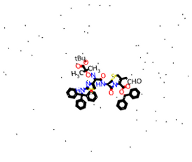 CC(C)(C)OC(=O)C(C)(C)O/N=C(/C(=O)NC1C(=O)N2C(C(=O)OC(c3ccccc3)c3ccccc3)=C(CC=O)CSC12)c1csc(NC(c2ccccc2)(c2ccccc2)c2ccccc2)n1